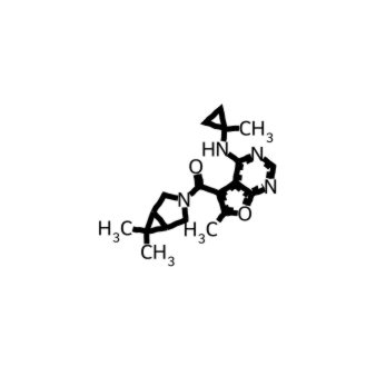 Cc1oc2ncnc(NC3(C)CC3)c2c1C(=O)N1CC2C(C1)C2(C)C